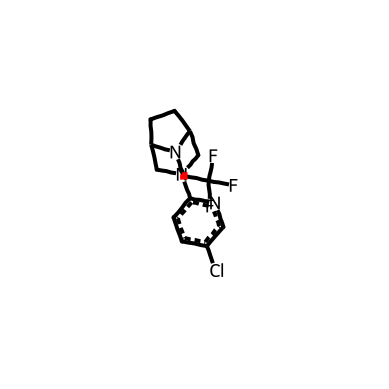 FC(F)(F)CN1C2CCC1CN(c1ccc(Cl)cn1)C2